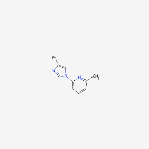 Cc1cccc(-n2cnc(C(C)C)c2)n1